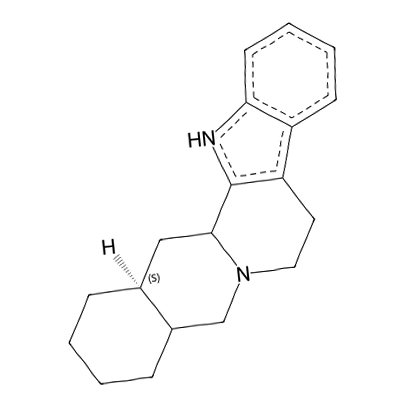 c1ccc2c3c([nH]c2c1)C1C[C@@H]2CCCCC2CN1CC3